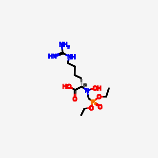 CCOP(=O)(CN(O)[C@@H](CCCCNC(=N)N)C(=O)O)OCC